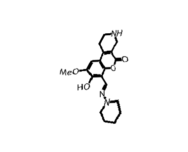 COc1cc2c3c(c(=O)oc2c(/C=N/N2CCCCC2)c1O)CNCC3